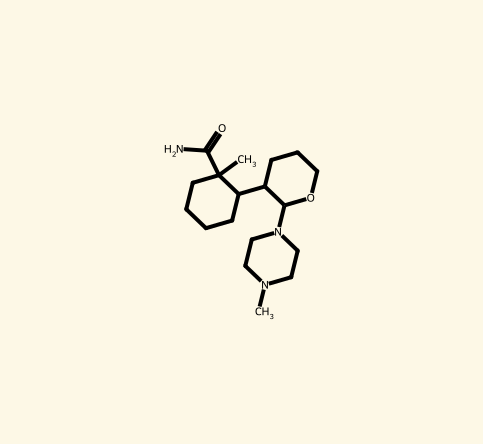 CN1CCN(C2OCCCC2C2CCCCC2(C)C(N)=O)CC1